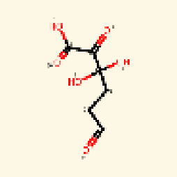 O=CCCC(O)(O)C(=O)C(=O)O